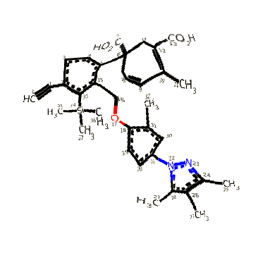 C#Cc1ccc(C2(C(=O)O)C=CC(C)=C(C(=O)O)C2)c(COc2ccc(-n3nc(C)c(C)c3C)cc2C)c1[Si](C)(C)C